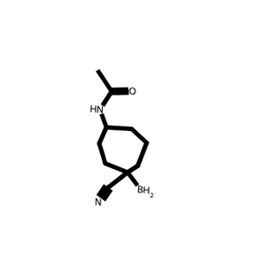 BC1(C#N)CCCC(NC(C)=O)CC1